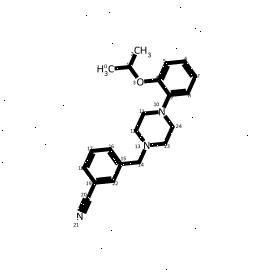 CC(C)Oc1ccccc1N1CCN(Cc2cccc(C#N)c2)CC1